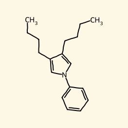 CCCCc1cn(-c2ccccc2)cc1CCCC